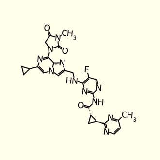 Cc1ccnc([C@H]2C[C@@H]2C(=O)Nc2ncc(F)c(NCc3cn4cc(C5CC5)nc(N5CC(=O)N(C)C5=O)c4n3)n2)n1